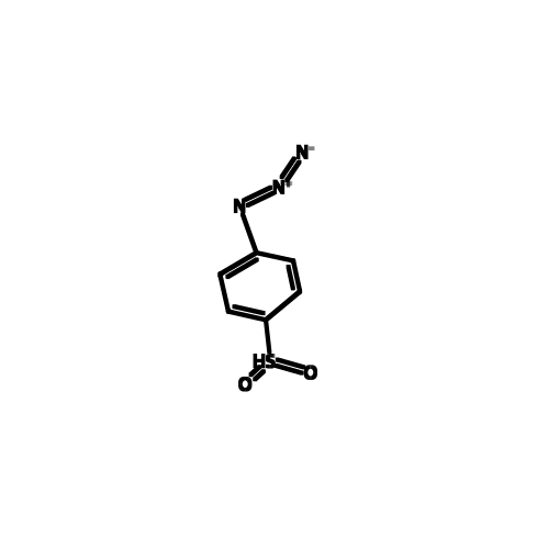 [N-]=[N+]=Nc1ccc([SH](=O)=O)cc1